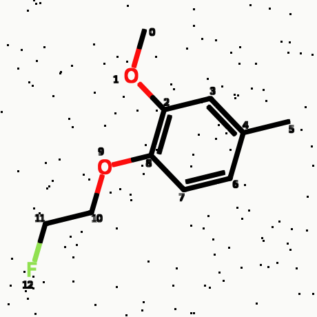 COc1cc(C)ccc1OCCF